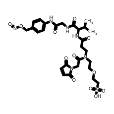 CC(C)C(NC(=O)CCN(CCOCCS(=O)(=O)O)C(=O)CN1C(=O)C=CC1=O)C(=O)NCC(=O)Nc1ccc(CON=O)cc1